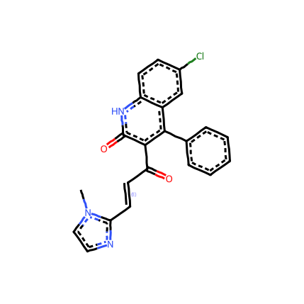 Cn1ccnc1/C=C/C(=O)c1c(-c2ccccc2)c2cc(Cl)ccc2[nH]c1=O